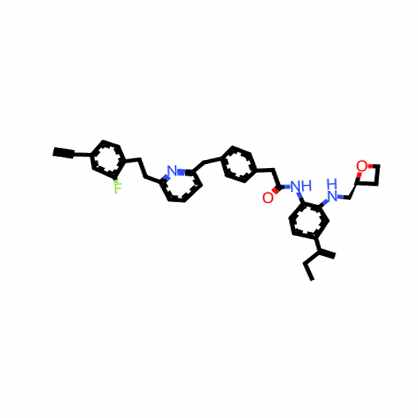 C#Cc1ccc(CCc2cccc(Cc3ccc(CC(=O)Nc4ccc(C(=C)CC)cc4NC[C@@H]4CCO4)cc3)n2)c(F)c1